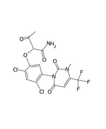 CC(=O)C(Oc1cc(-n2c(=O)cc(C(F)(F)F)n(C)c2=O)c(Cl)cc1Cl)C(N)=O